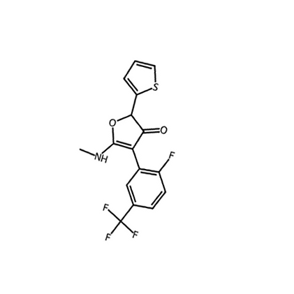 CNC1=C(c2cc(C(F)(F)F)ccc2F)C(=O)C(c2cccs2)O1